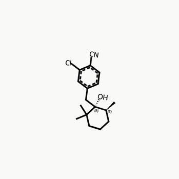 C[C@H]1CCCC(C)(C)[C@@]1(O)Cc1ccc(C#N)c(Cl)c1